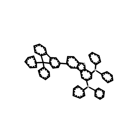 c1ccc(N(c2ccccc2)c2cc(N(c3ccccc3)c3ccccc3)c3sc4ccc(-c5ccc6c(c5)-c5ccccc5C6(c5ccccc5)c5ccccc5)cc4c3c2)cc1